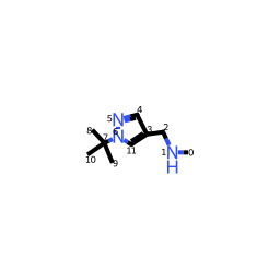 CNCc1cnn(C(C)(C)C)c1